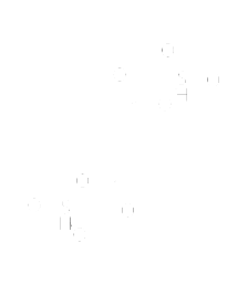 O=C(CCC(=O)O[SH](=O)=O)O[SH](=O)=O